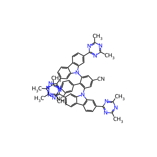 Cc1nc(C)nc(-c2ccc3c4ccc(-c5nc(C)nc(C)n5)cc4n(-c4cc(C#N)cc(-n5c6cc(-c7nc(C)nc(C)n7)ccc6c6ccc(-c7nc(C)nc(C)n7)cc65)c4-c4cccc(C#N)c4)c3c2)n1